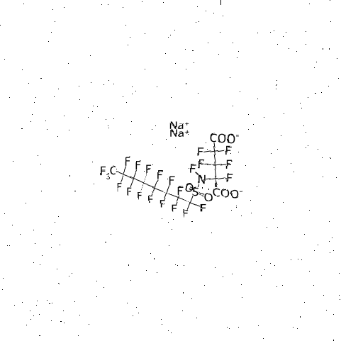 O=C([O-])C(F)(F)C(F)(F)[C@@](F)(C(=O)[O-])N(F)S(=O)(=O)C(F)(F)C(F)(F)C(F)(F)C(F)(F)C(F)(F)C(F)(F)C(F)(F)C(F)(F)F.[Na+].[Na+]